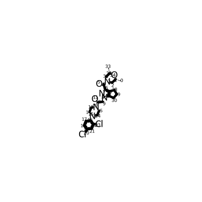 C[C@@H]1CN(C(=O)c2nn(CC(=O)N3CCN(c4ccc(Cl)cc4Cl)CC3)c3c2CCC3)C[C@H](C)O1